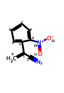 C=C(C#N)c1ccccc1[N+](=O)[O-]